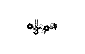 CC1(C)OB(c2ccc(NC(=O)C3=C4CCCN4N(c4ccccc4)C3O)c(F)c2)OC1(C)C